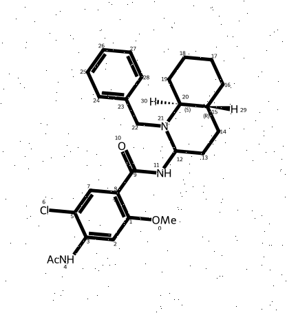 COc1cc(NC(C)=O)c(Cl)cc1C(=O)NC1CC[C@H]2CCCC[C@@H]2N1Cc1ccccc1